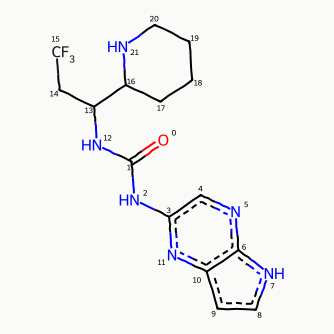 O=C(Nc1cnc2[nH]ccc2n1)NC(CC(F)(F)F)C1CCCCN1